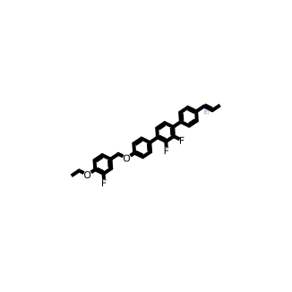 C/C=C/c1ccc(-c2ccc(-c3ccc(OCc4ccc(OCC)c(F)c4)cc3)c(F)c2F)cc1